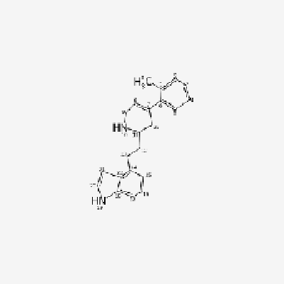 Cc1ccccc1C1=CCNC(CCc2cccc3[nH]ccc23)C1